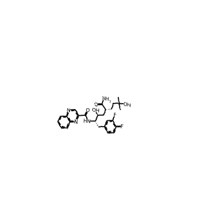 CC(C)(O)CC[C@H](C[C@H](O)[C@H](Cc1ccc(F)c(F)c1)NC(=O)c1cnc2ccccc2n1)C(N)=O